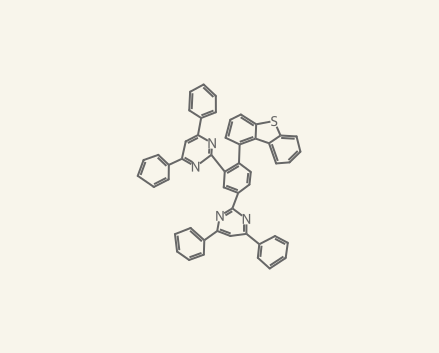 c1ccc(-c2cc(-c3ccccc3)nc(-c3ccc(-c4cccc5sc6ccccc6c45)c(-c4nc(-c5ccccc5)cc(-c5ccccc5)n4)c3)n2)cc1